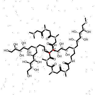 COC[C@@H](O)[C@@H](O)[C@H](O)[C@@H](O)CN(CCNC(=O)CN(C)C(=O)CN(C)C(=O)CN(C)C(=O)C(CCCN(C[C@H](O)[C@@H](O)[C@H](O)[C@H](O)CO)C[C@H](O)[C@@H](O)[C@H](O)[C@H](O)CO)N(C)C(=O)CN(C)C(=O)CN(C)C(=O)CN(C)C)C[C@H](O)[C@@H](O)[C@H](O)[C@H](O)CO